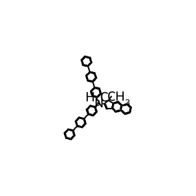 CC1(C)C(N(c2ccc(-c3ccc(-c4ccccc4)cc3)cc2)c2ccc(-c3ccc(-c4ccccc4)cc3)cc2)=Cc2cc3ccccc3cc21